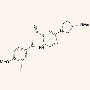 CN[C@H]1CCN(C2=CN3C(=O)C=C(c4ccc(OC)c(F)c4)PC3C=C2)C1